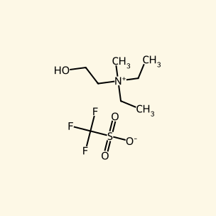 CC[N+](C)(CC)CCO.O=S(=O)([O-])C(F)(F)F